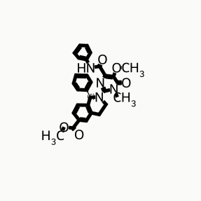 COC(=O)c1ccc2c(c1)CCN(c1nc(C(=O)Nc3ccccc3)c(OC)c(=O)n1C)[C@H]2c1ccccc1